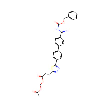 CC(C)(C)C(=O)OCOC(=O)CCc1nnc(-c2ccc(-c3ccc(C(=N)NC(=O)OCc4ccccc4)cc3)cc2)s1